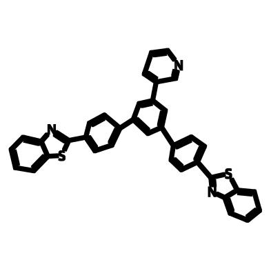 c1cncc(-c2cc(-c3ccc(-c4nc5ccccc5s4)cc3)cc(-c3ccc(-c4nc5ccccc5s4)cc3)c2)c1